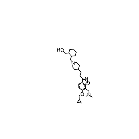 CN(C)Cc1c(OCC2CC2)ccc2c(CCC3CCN(CC4CCCCC4CO)CC3)noc12